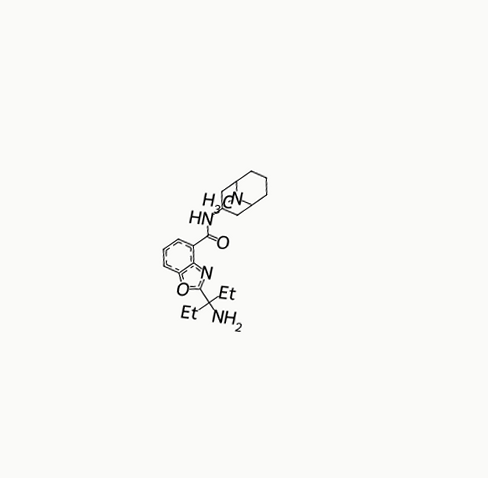 CCC(N)(CC)c1nc2c(C(=O)NC3CC4CCCC(C3)N4C)cccc2o1